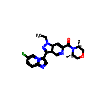 C[C@@H]1COC[C@H](C)N1C(=O)C1=CC2C(C=N1)C(c1cnc3ccc(F)cn13)=NN2CC(F)(F)F